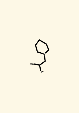 CC(C)C(O)CN1CCCCC1